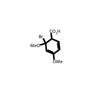 COC1=CC(Br)(OC)C(C(=O)O)C=C1